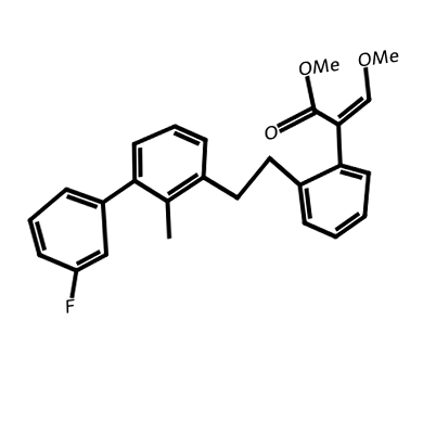 COC=C(C(=O)OC)c1ccccc1CCc1cccc(-c2cccc(F)c2)c1C